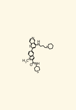 Cn1c(C(=O)NC2CCSCC2)cc2cc(-c3cc(NCCCN4CCCCC4)c4cnccc4n3)ccc21